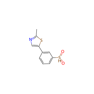 Cc1ncc(-c2cccc([SH](=O)=O)c2)s1